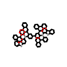 c1ccc(N(c2ccc3sc4ccccc4c3c2)c2ccc(-c3ccc(N(c4ccccc4-c4cccc5ccccc45)c4cccc5c4sc4ccccc45)c(-c4cc5ccccc5c5ccccc45)c3)cc2-c2cc3ccccc3c3ccccc23)c(-c2cccc3ccccc23)c1